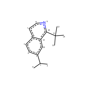 CC(C)c1ccc2ccnc(C(C)(C)C)c2c1